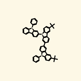 CC(C)(C)c1ccc2c(c1)c1cc(-c3ccc4c5cc(C(C)(C)C)ccc5n(-c5ccc6c7ccccc7n(-c7ccccc7)c6c5)c4c3)ccc1n2-c1ccccc1